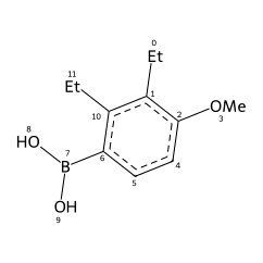 CCc1c(OC)ccc(B(O)O)c1CC